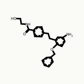 Nc1ccc(OCc2ccccc2)c(CCc2ccc(C(=O)NCCO)cc2)c1